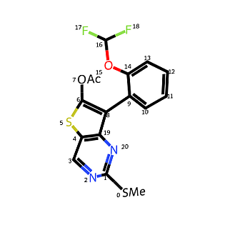 CSc1ncc2sc(OC(C)=O)c(-c3ccccc3OC(F)F)c2n1